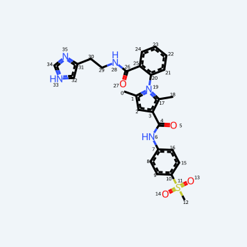 Cc1cc(C(=O)Nc2ccc(S(C)(=O)=O)cc2)c(C)n1-c1ccccc1C(=O)NCCc1c[nH]cn1